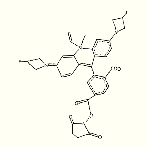 C=C[Si]1(C)C2=CC(=[N+]3CC(F)C3)C=CC2=C(c2cc(C(=O)ON3C(=O)CCC3=O)ccc2C(=O)[O-])c2ccc(N3CC(F)C3)cc21